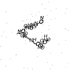 Cc1cc2c(S(=O)(=O)N(C)CCCCNCCCc3ccc4c(c3)n(C)c(=O)n4C3CCC(=O)NC3=O)cc(C(=O)NCC(=O)Nc3nc(-c4cccc(N(C)C)c4)cs3)cc2n1C